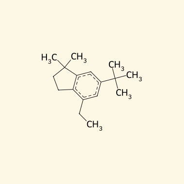 CCc1cc(C(C)(C)C)cc2c1CCC2(C)C